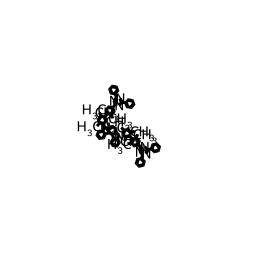 Cc1cc(-c2nc(-c3ccccc3)nc(-c3ccccc3)n2)cc(C)c1-c1c(C)cc(C)c(-n2c3ccccc3c3c4c5ccccc5n(-c5c(C)cc(C)c(-c6c(C)cc(-c7nc(-c8ccccc8)nc(-c8ccccc8)n7)cc6C)c5C)c4ccc32)c1C